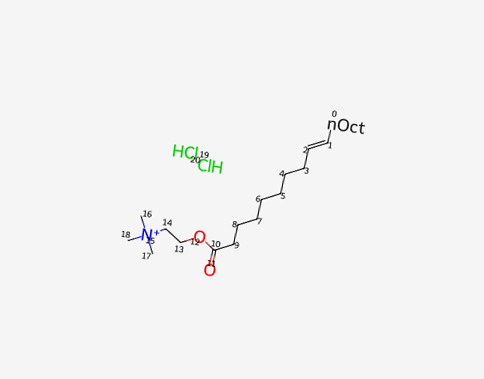 CCCCCCCCC=CCCCCCCCC(=O)OCC[N+](C)(C)C.Cl.Cl